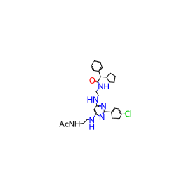 CC(=O)NCCNc1cc(NCCNC(=O)C(c2ccccc2)C2CCCC2)nc(-c2ccc(Cl)cc2)n1